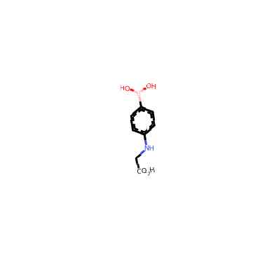 O=C(O)CNc1ccc(B(O)O)cc1